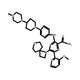 COc1cccnc1-c1nc(C(N)=O)c(Nc2ccc(N3CCC(N4CCN(C)CC4)CC3)cc2)nc1N1CCC12CCOCC2